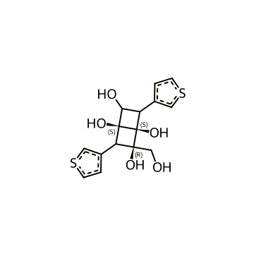 OC[C@]1(O)C(c2ccsc2)[C@]2(O)C(O)C(c3ccsc3)[C@@]21O